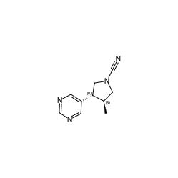 C[C@@H]1CN(C#N)C[C@H]1c1cncnc1